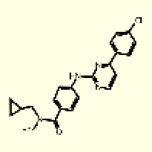 CCCN(CC1CC1)C(=O)c1ccc(Nc2nccc(-c3ccc(Cl)cc3)n2)cc1